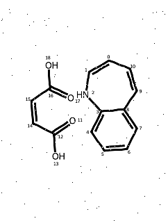 C1=CNc2ccccc2C=C1.O=C(O)/C=C\C(=O)O